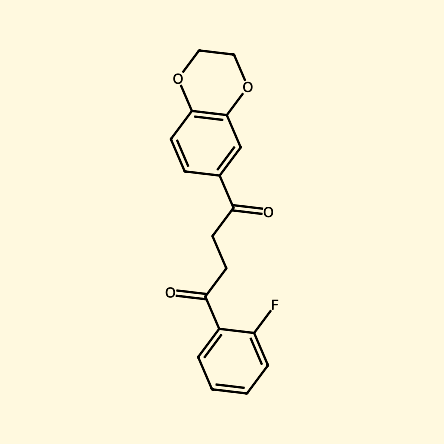 O=C(CCC(=O)c1ccccc1F)c1ccc2c(c1)OCCO2